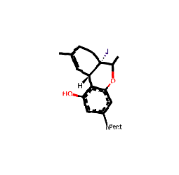 CCCCCc1cc(O)c2c(c1)OC(C)[C@]1(I)CCC(C)=C[C@@H]21